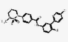 CN1CCCN(c2ccc(C(=O)Nc3ccc(Cl)c(-c4ccc(Cl)cn4)c3)cc2)S1(=O)=O